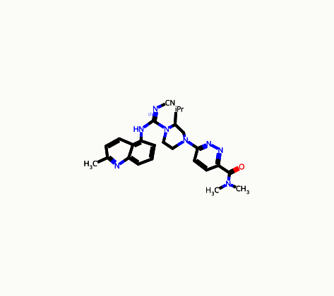 Cc1ccc2c(N/C(=N/C#N)N3CCN(c4ccc(C(=O)N(C)C)nn4)CC3C(C)C)cccc2n1